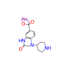 O=C1CN(C2CCNCC2)c2ccc(C(=O)OP)cc2N1